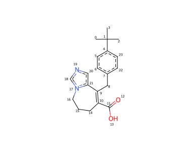 CC(C)(C)c1ccc(CC2=C(C(=O)O)CCCn3cncc32)cc1